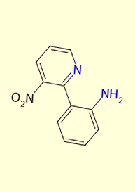 Nc1ccccc1-c1ncccc1[N+](=O)[O-]